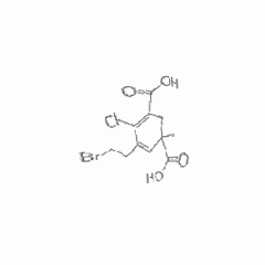 CC1(C(=O)O)C=C(CCBr)C(Cl)=C(C(=O)O)C1